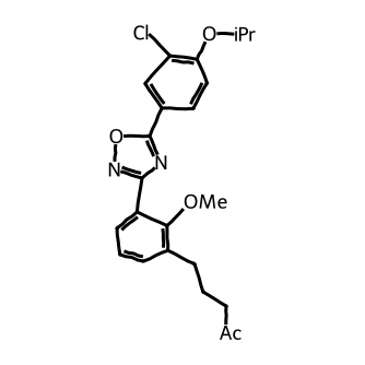 COc1c(CCCC(C)=O)cccc1-c1noc(-c2ccc(OC(C)C)c(Cl)c2)n1